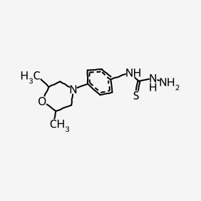 CC1CN(c2ccc(NC(=S)NN)cc2)CC(C)O1